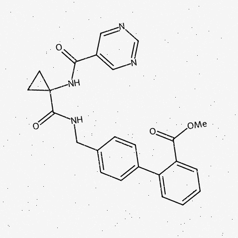 COC(=O)c1ccccc1-c1ccc(CNC(=O)C2(NC(=O)c3cncnc3)CC2)cc1